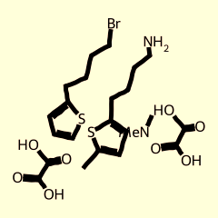 BrCCCCc1cccs1.CNC.Cc1ccc(CCCCN)s1.O=C(O)C(=O)O.O=C(O)C(=O)O